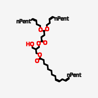 CCCCC/C=C\C/C=C\CCCCCCCC(=O)OCC(CO)COC(=O)CCC(OCC/C=C\CCCCC)OCC/C=C\CCCCC